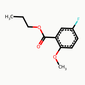 CCCOC(=O)c1cc(F)ccc1OC